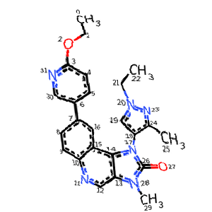 CCOc1ccc(-c2ccc3ncc4c(c3c2)n(-c2cn(CC)nc2C)c(=O)n4C)cn1